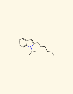 CCCCCCc1cc2ccccc2n1C(C)C